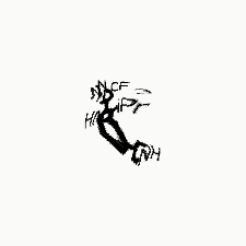 CC(C)c1c(-c2cc(C(F)(F)F)c3ncnn3c2)[nH]c2ccc(C3CCNCC3)cc12